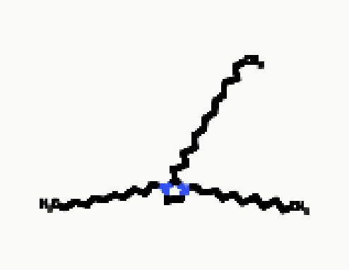 CCCCCCCCCCCCCCC1N(CCCCCCCCCCC)C=CN1CCCCCCCCCCC